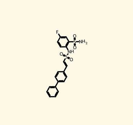 NS(=O)(=O)c1cc(F)ccc1NS(=O)(=O)C=Cc1ccc(-c2ccccc2)cc1